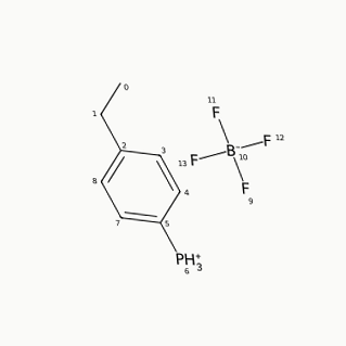 CCc1ccc([PH3+])cc1.F[B-](F)(F)F